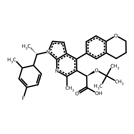 Cc1nc2c(ccn2[C@@H](C)C2C=CC(F)=CC2C)c(-c2ccc3c(c2)CCCO3)c1[C@@H](OC(C)(C)C)C(=O)O